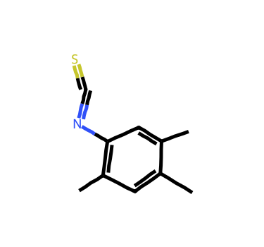 Cc1cc(C)c(N=C=S)cc1C